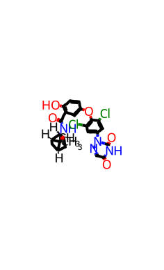 CC1(C)[C@H]2CC[C@@H](NC(=O)c3cc(Oc4c(Cl)cc(-n5ncc(=O)[nH]c5=O)cc4Cl)ccc3O)[C@@H]1C2